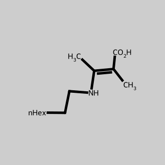 CCCCCCCCN/C(C)=C(\C)C(=O)O